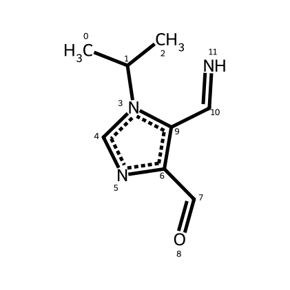 CC(C)n1cnc(C=O)c1C=N